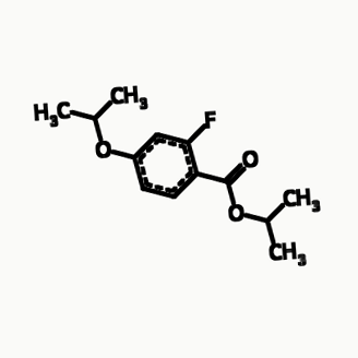 CC(C)OC(=O)c1ccc(OC(C)C)cc1F